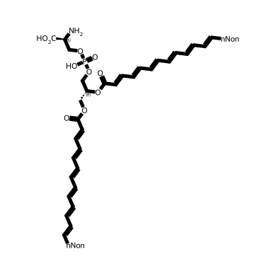 CCCCCCCCCC=CC=CC=CC=CC=CC=CC(=O)OC[C@H](COP(=O)(O)OC[C@H](N)C(=O)O)OC(=O)C=CC=CC=CC=CC=CC=CCCCCCCCCC